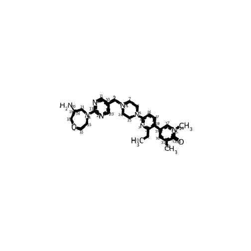 CCc1nc(N2CCN(Cc3cnc(N4CCOC[C@@H](N)C4)nc3)CC2)ccc1-c1cc(C)c(=O)n(C)c1